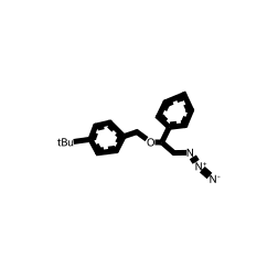 CC(C)(C)c1ccc(COC(CN=[N+]=[N-])c2ccccc2)cc1